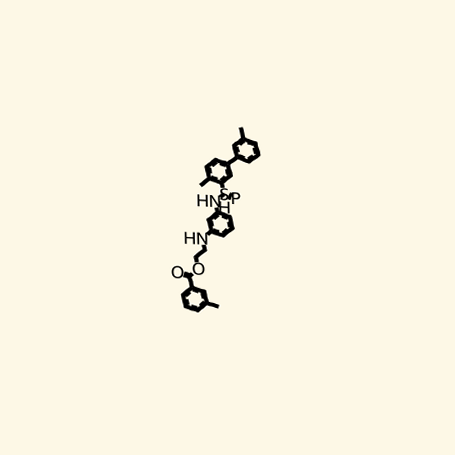 Cc1cccc(C(=O)OCCNc2cccc(N[SH](#P)c3cc(-c4cccc(C)c4)ccc3C)c2)c1